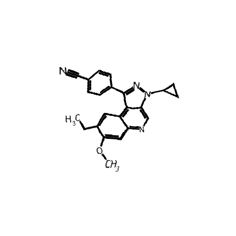 CCc1cc2c(cc1OC)ncc1c2c(-c2ccc(C#N)cc2)nn1C1CC1